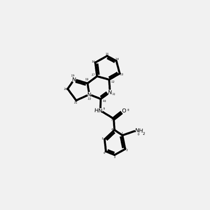 Nc1ccccc1C(=O)NC1=Nc2ccccc2C2=NCCN12